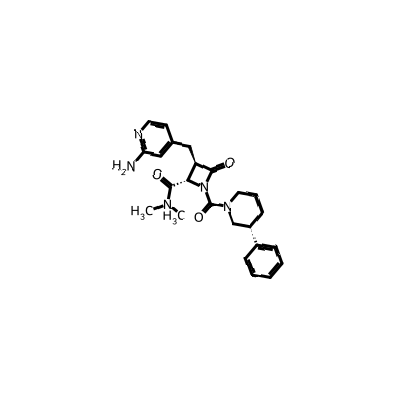 CN(C)C(=O)[C@@H]1[C@@H](Cc2ccnc(N)c2)C(=O)N1C(=O)N1CCC[C@H](c2ccccc2)C1